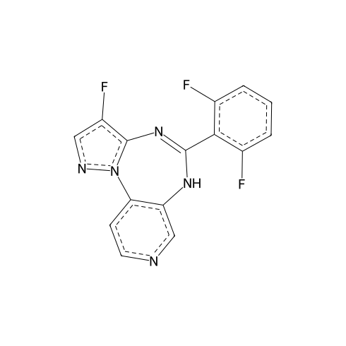 Fc1cccc(F)c1C1=Nc2c(F)cnn2-c2ccncc2N1